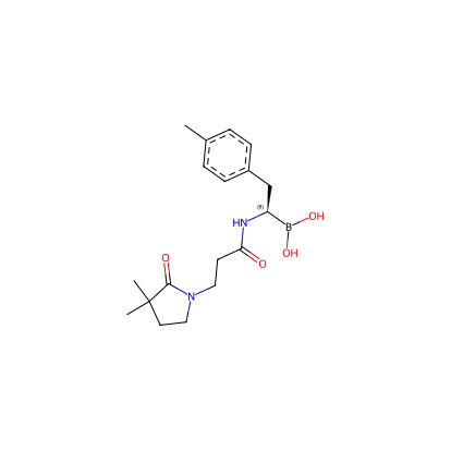 Cc1ccc(C[C@H](NC(=O)CCN2CCC(C)(C)C2=O)B(O)O)cc1